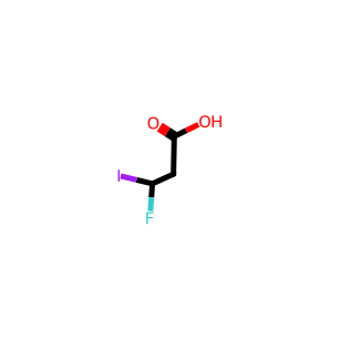 O=C(O)CC(F)I